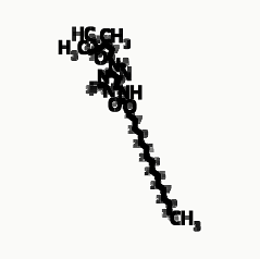 C#C[C@]1(CC)O[C@@H](n2cnc3c(NC(=O)OCCCCCCCCCCCCCCCC)nc(F)nc32)C[C@@H]1C